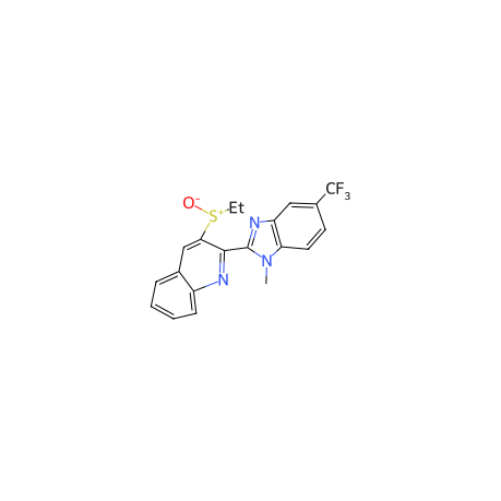 CC[S+]([O-])c1cc2ccccc2nc1-c1nc2cc(C(F)(F)F)ccc2n1C